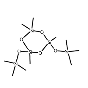 C[Si](C)(C)O[Si]1(C)O[Si](C)(C)O[Si](C)(O[Si](C)(C)C)O1